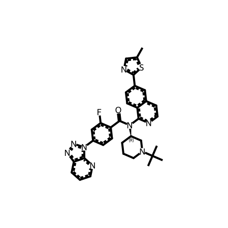 Cc1cnc(-c2ccc3c(N(C(=O)c4ccc(-n5nnc6cccnc65)cc4F)[C@@H]4CCCN(C(C)(C)C)C4)nccc3c2)s1